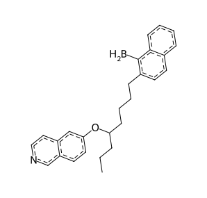 Bc1c(CCCCC(CCC)Oc2ccc3cnccc3c2)ccc2ccccc12